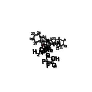 COCC(=O)N(CCN1C2CCC1CC(c1cccc(C(N)=O)c1)C2)Cc1ccccc1.O=C(O)C(F)(F)F